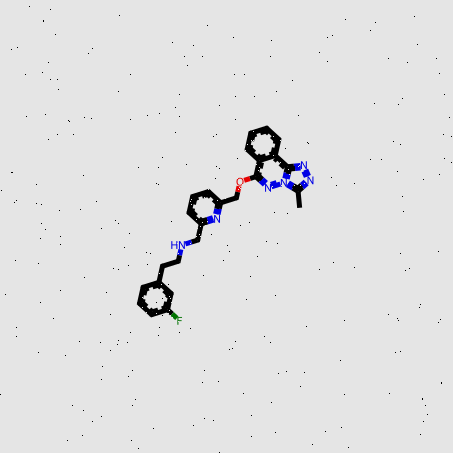 Cc1nnc2c3ccccc3c(OCc3cccc(CNCCc4cccc(F)c4)n3)nn12